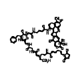 CC[C@@]1(O)C(=O)OCc2c1cc1n(c2=O)Cc2c-1nc1cc(F)c(C)c3c1c2[C@@H](NC(=O)CCCNC(=O)CNC(=O)[C@H](Cc1ccccc1)NC(=O)CNC(=O)CNC(=O)CN(CCNC(=O)CCCCCN1C(=O)C=CC1=O)CC(=O)O)CC3